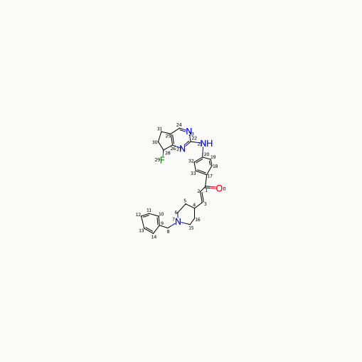 O=C(C=CC1CCN(Cc2ccccc2)CC1)c1ccc(Nc2ncc3c(n2)C(F)CC3)cc1